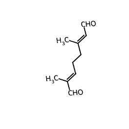 CC(C=O)=CCC/C(C)=C/C=O